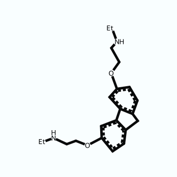 CCNCCOc1ccc2c(c1)-c1cc(OCCNCC)ccc1C2